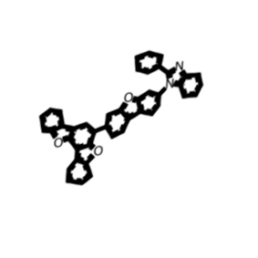 c1ccc(-c2nc3ccccc3n2-c2ccc3c(c2)oc2cc(-c4cc5c6ccccc6oc5c5c4oc4ccccc45)ccc23)cc1